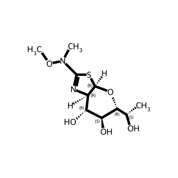 CON(C)C1=N[C@@H]2[C@@H](O)[C@H](O)[C@@H]([C@H](C)O)O[C@@H]2S1